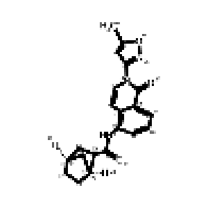 Cc1cc(-n2ccc3c(NC(=O)C4C[C@@H]5CC[C@H]4C5)cccc3c2=O)no1